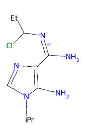 CCC(Cl)/N=C(/N)c1ncn(C(C)C)c1N